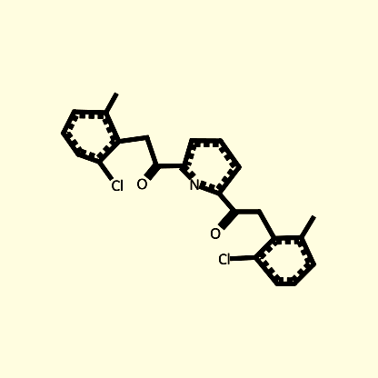 Cc1cccc(Cl)c1CC(=O)c1cccc(C(=O)Cc2c(C)cccc2Cl)n1